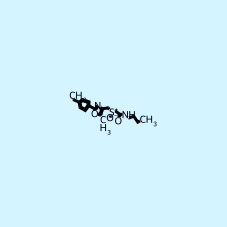 CCCCNC(=O)C[S+]([O-])Cc1nc(-c2ccc(CC)cc2)oc1C